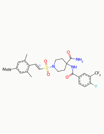 CNc1cc(C)c(/C=C/S(=O)(=O)N2CCC(NC(=O)c3ccc(F)c(C(F)(F)F)c3)(C(N)=O)CC2)c(C)c1